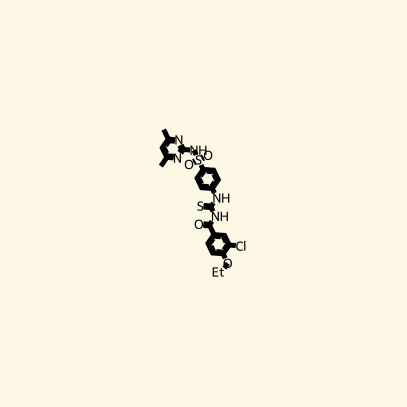 CCOc1ccc(C(=O)NC(=S)Nc2ccc(S(=O)(=O)Nc3nc(C)cc(C)n3)cc2)cc1Cl